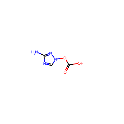 Nc1ncn(OC(=O)O)n1